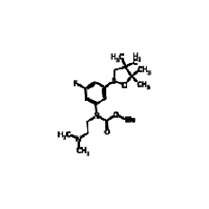 CN(C)CCN(C(=O)OC(C)(C)C)c1cc(F)cc(B2CC(C)(C)C(C)(C)O2)c1